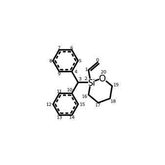 C=C[Si]1(C(c2ccccc2)c2ccccc2)CCCCO1